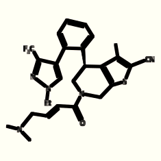 CCn1cc(-c2ccccc2[C@@H]2CN(C(=O)/C=C/CN(C)C)Cc3sc(C#N)c(C)c32)c(C(F)(F)F)n1